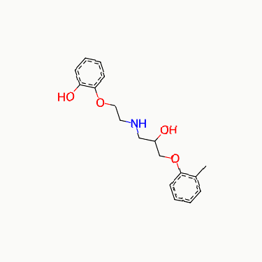 Cc1ccccc1OCC(O)CNCCOc1ccccc1O